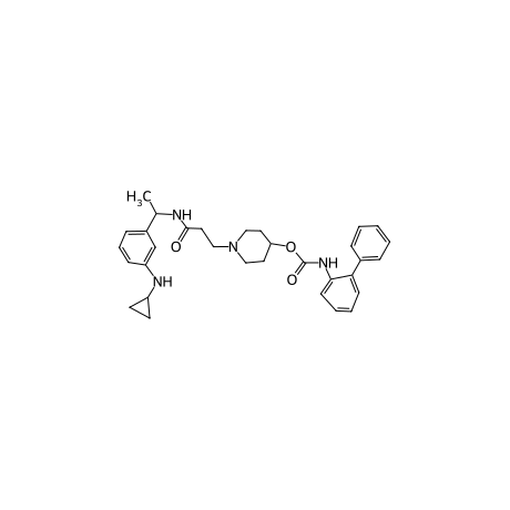 CC(NC(=O)CCN1CCC(OC(=O)Nc2ccccc2-c2ccccc2)CC1)c1cccc(NC2CC2)c1